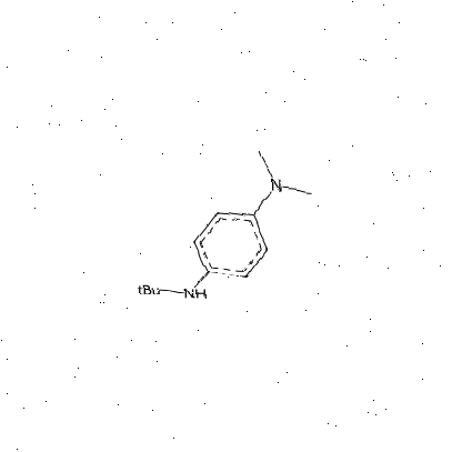 CN(C)c1ccc(NC(C)(C)C)cc1